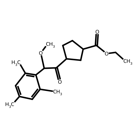 CCOC(=O)C1CCC(C(=O)C(OC)c2c(C)cc(C)cc2C)C1